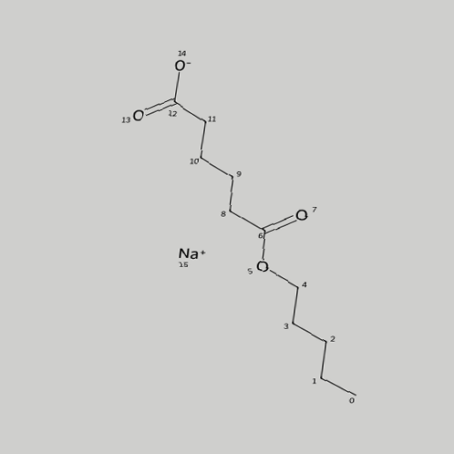 CCCCCOC(=O)CCCCC(=O)[O-].[Na+]